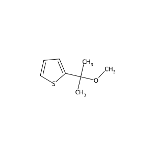 COC(C)(C)c1cccs1